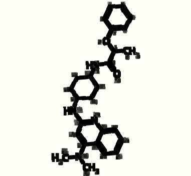 CC(Oc1ccccc1)C(=O)NC1CCC(Nc2cc(N(C)C)c3ccccc3n2)CC1